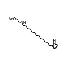 CC(=O)OCCNCCCCCCCCCCCCCc1ccc[nH]1